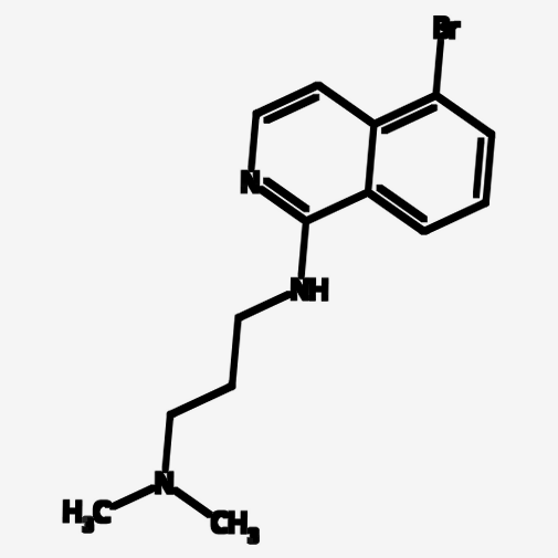 CN(C)CCCNc1nccc2c(Br)cccc12